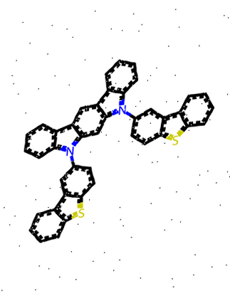 c1ccc2c(c1)sc1ccc(-n3c4ccccc4c4cc5c6ccccc6n(-c6ccc7sc8ccccc8c7c6)c5cc43)cc12